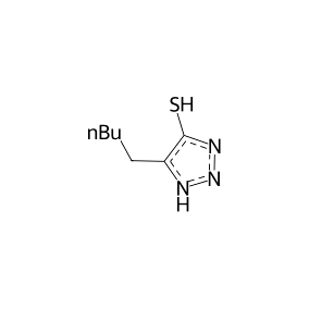 CCCCCc1[nH]nnc1S